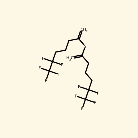 C=C(CCCC(F)(F)C(F)(F)F)SC(=C)CCCC(F)(F)C(F)(F)F